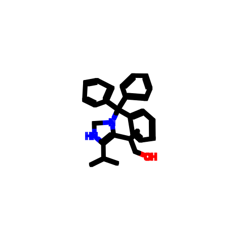 CC(C)C1=C(C(C)CO)N(C(c2ccccc2)(c2ccccc2)c2ccccc2)CN1